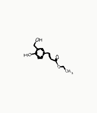 CCOC(=O)/C=C/c1ccc(O)c(CO)c1